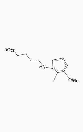 CCCCCCCCCCCCNc1cccc(OC)c1C